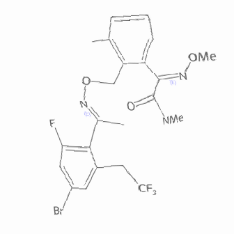 CNC(=O)/C(=N/OC)c1cccc(C)c1CO/N=C(\C)c1c(F)cc(Br)cc1CC(F)(F)F